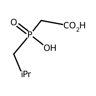 CC(C)CP(=O)(O)CC(=O)O